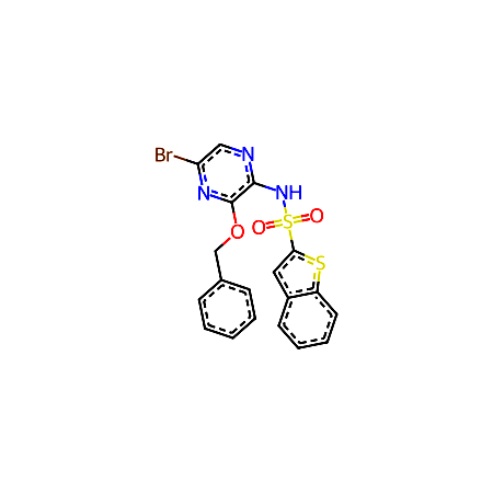 O=S(=O)(Nc1ncc(Br)nc1OCc1ccccc1)c1cc2ccccc2s1